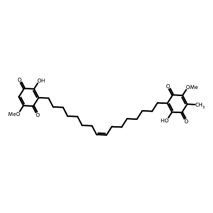 COC1=CC(=O)C(O)=C(CCCCCCC/C=C\CCCCCCCC2=C(O)C(=O)C(C)=C(OC)C2=O)C1=O